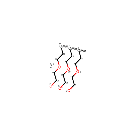 COCCOCC[O-].COCCOCC[O-].COCCOCC[O-].[Bi+3]